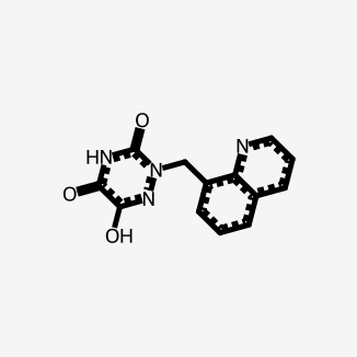 O=c1[nH]c(=O)n(Cc2cccc3cccnc23)nc1O